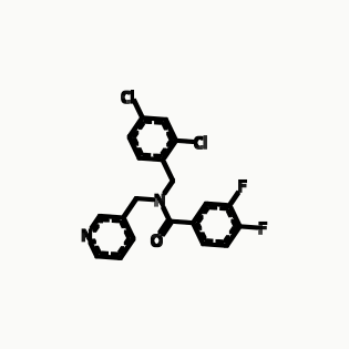 O=C(c1ccc(F)c(F)c1)N(Cc1cccnc1)Cc1ccc(Cl)cc1Cl